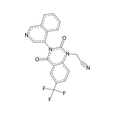 N#CCn1c(=O)n(-c2cncc3ccccc23)c(=O)c2cc(C(F)(F)F)ccc21